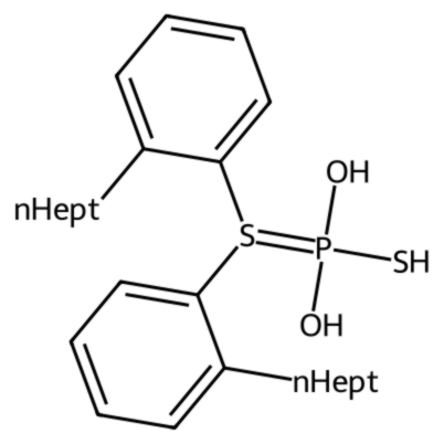 CCCCCCCc1ccccc1S(c1ccccc1CCCCCCC)=P(O)(O)S